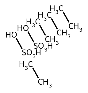 CC.CC.CC.CC.O=S(=O)(O)O.O=S(=O)(O)O